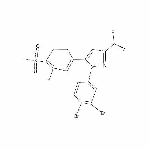 CS(=O)(=O)c1ccc(-c2cc(C(F)F)nn2-c2ccc(Br)c(Br)c2)cc1F